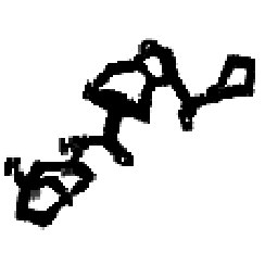 O=C(N[C@@H]1C[C@H]2CCN(C2)C1)c1cc2c(C(=O)N3CCC3)coc2cn1